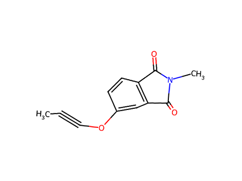 CC#COc1ccc2c(c1)C(=O)N(C)C2=O